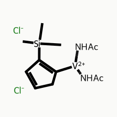 CC(=O)[NH][V+2]([NH]C(C)=O)[C]1=C([Si](C)(C)C)C=CC1.[Cl-].[Cl-]